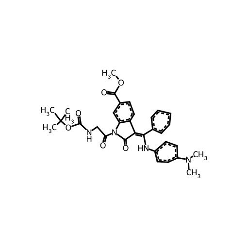 COC(=O)c1ccc2c(c1)N(C(=O)CNC(=O)OC(C)(C)C)C(=O)/C2=C(\Nc1ccc(N(C)C)cc1)c1ccccc1